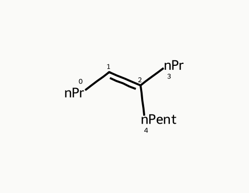 CCCC=C(CCC)CCCCC